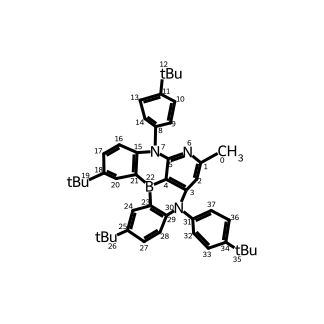 Cc1cc2c3c(n1)N(c1ccc(C(C)(C)C)cc1)c1ccc(C(C)(C)C)cc1B3c1cc(C(C)(C)C)ccc1N2c1ccc(C(C)(C)C)cc1